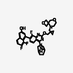 Oc1cc(-c2ccc3c(N4CC5CCC(C4)N5)nc(OCC4(CN5CCOCC56COC6)CC4)nc3c2F)c2c(F)c(F)ccc2c1